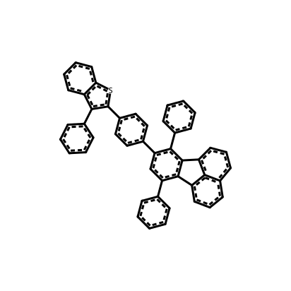 c1ccc(-c2cc(-c3ccc(-c4sc5ccccc5c4-c4ccccc4)cc3)c(-c3ccccc3)c3c2-c2cccc4cccc-3c24)cc1